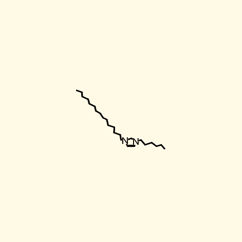 CCCCCCCCCCCCCCCN1C=CN(CCCCCC)C1